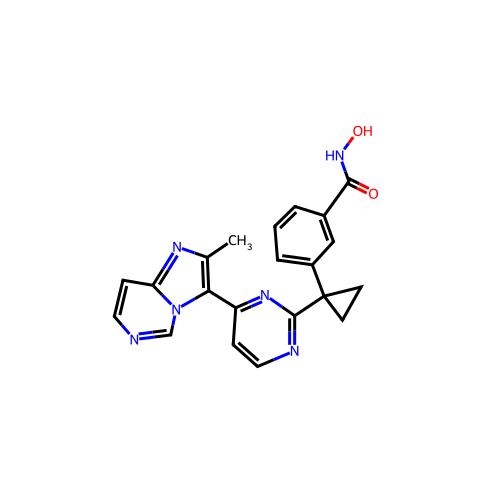 Cc1nc2ccncn2c1-c1ccnc(C2(c3cccc(C(=O)NO)c3)CC2)n1